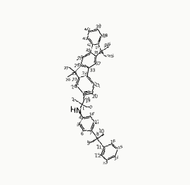 CC(C)(Nc1ccc(C(C)(C)c2ccccc2)cc1)c1ccc2c(c1)C(C)(C)c1cc3c(cc1-2)C(C)(C)c1ccccc1-3